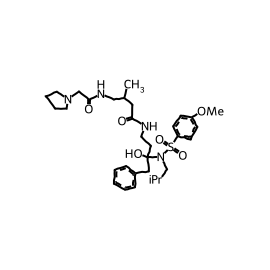 COc1ccc(S(=O)(=O)N(CC(C)C)C(O)(CCNC(=O)CC(C)CNC(=O)CN2CCCC2)Cc2ccccc2)cc1